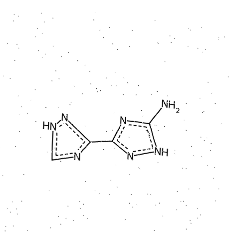 Nc1nc(-c2nc[nH]n2)n[nH]1